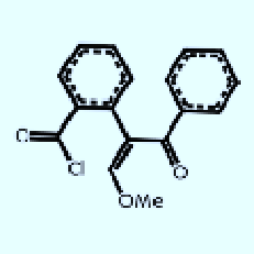 COC=C(C(=O)c1ccccc1)c1ccccc1C(=O)Cl